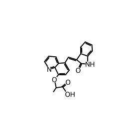 CC(Oc1ccc(C=C2C(=O)Nc3ccccc32)c2cccnc12)C(=O)O